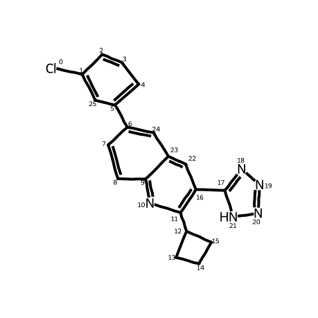 Clc1cccc(-c2ccc3nc(C4CCC4)c(-c4nnn[nH]4)cc3c2)c1